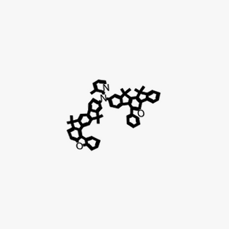 Cc1cccnc1N(c1ccc2c(c1)C(C)(C)c1cc3c(cc1-2)C(C)(C)c1ccc2oc4ccccc4c2c1-3)c1ccc2c(c1)C(C)(C)c1c3c(c4oc5ccccc5c4c1-2)-c1ccccc1C3(C)C